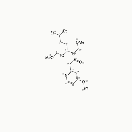 CCC(CC)CC[C@@H](OCOC)N(COC)C(=O)Cc1cc(OC(C)C)ccn1